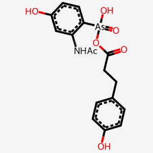 CC(=O)Nc1cc(O)ccc1[As](=O)(O)OC(=O)CCc1ccc(O)cc1